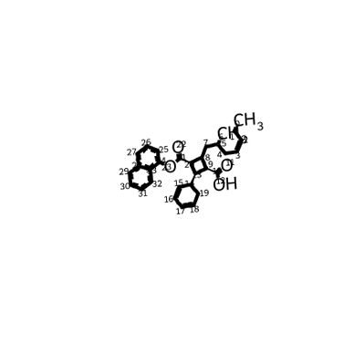 CC/C=C\CC(C)CC1[C@@H](C(=O)O)[C@@H](C2C=CC=CC2)[C@H]1C(=O)Oc1cccc2ccccc12